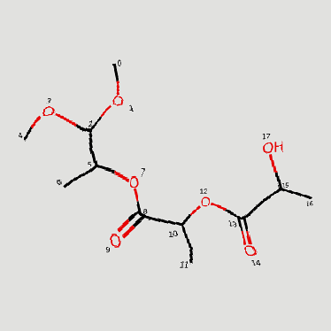 COC(OC)C(C)OC(=O)C(C)OC(=O)C(C)O